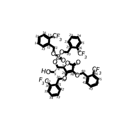 O=C1O[C@H]([C@H](CO)OP(=O)(OCc2ccccc2C(F)(F)F)OCc2ccccc2C(F)(F)F)C(OCc2ccccc2C(F)(F)F)=C1OCc1ccccc1C(F)(F)F